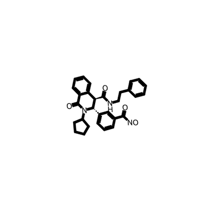 O=NC(=O)c1cccc([C@H]2[C@H](C(=O)NCCc3ccccc3)c3ccccc3C(=O)N2C2CCCC2)c1